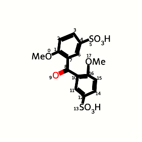 COc1ccc(S(=O)(=O)O)cc1C(=O)c1cc(S(=O)(=O)O)ccc1OC